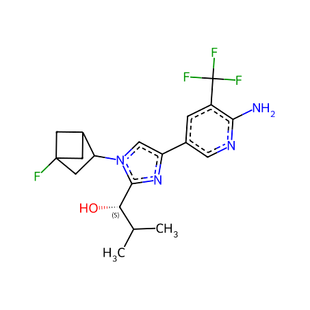 CC(C)[C@H](O)c1nc(-c2cnc(N)c(C(F)(F)F)c2)cn1C1CC2(F)CC1C2